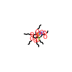 CCCCOC[C@H]1O[C@@](OCCCC)(C(F)(F)CC(C(=O)OCC)[N+](=O)[O-])[C@H](OCCCC)[C@@H](OCCCC)[C@H]1OCCCC